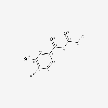 CCC(=O)CC(=O)c1ccc(F)c(Br)c1